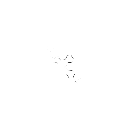 CC(P)(P)c1ccc(Nc2ccccc2-c2nnn(CC3CCNC3)n2)cc1